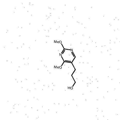 COc1ncc(CCCO)c(OC)n1